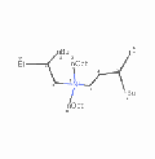 CCCCCCCC[N+](CCCCCCCC)(CCC(CC)CCCC)CC(CC)CCCC